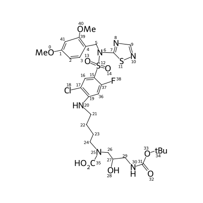 COc1ccc(CN(c2ncns2)S(=O)(=O)c2cc(Cl)c(NCCCCN(CC(O)CNC(=O)OC(C)(C)C)C(=O)O)cc2F)c(OC)c1